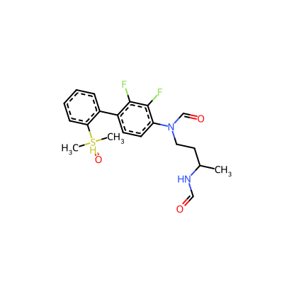 CC(CCN(C=O)c1ccc(-c2ccccc2[SH](C)(C)=O)c(F)c1F)NC=O